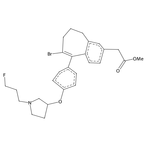 COC(=O)Cc1ccc2c(c1)CCCC(Br)=C2c1ccc(OC2CCN(CCCF)C2)cc1